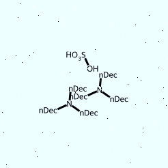 CCCCCCCCCCN(CCCCCCCCCC)CCCCCCCCCC.CCCCCCCCCCN(CCCCCCCCCC)CCCCCCCCCC.O=S(=O)(O)O